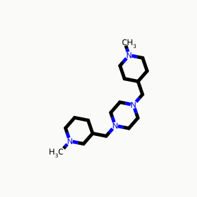 CN1CCC(CN2CCN(CC3CCCN(C)C3)CC2)CC1